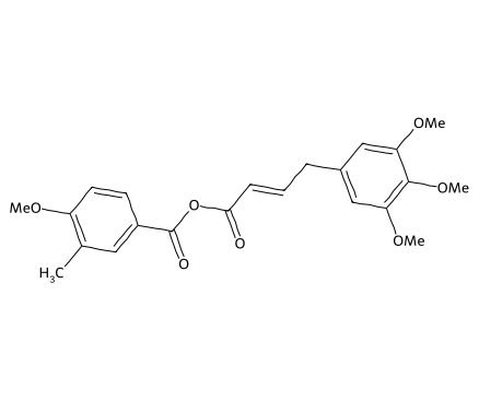 COc1ccc(C(=O)OC(=O)C=CCc2cc(OC)c(OC)c(OC)c2)cc1C